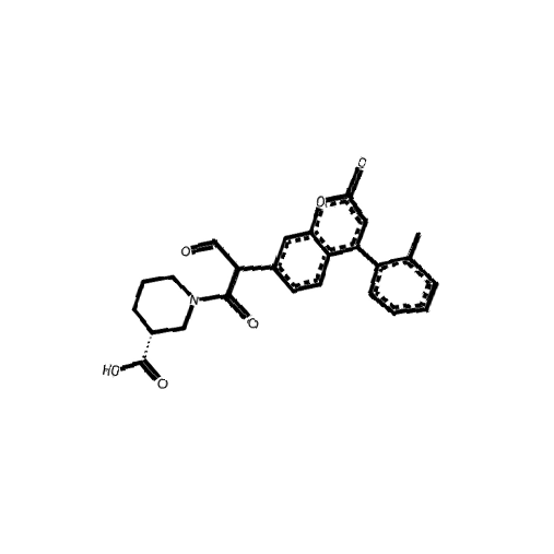 Cc1ccccc1-c1cc(=O)oc2cc(C(C=O)C(=O)N3CCC[C@@H](C(=O)O)C3)ccc12